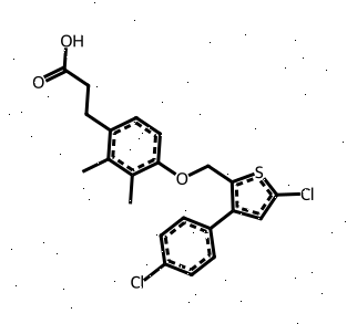 Cc1c(CCC(=O)O)ccc(OCc2sc(Cl)cc2-c2ccc(Cl)cc2)c1C